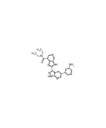 CCN(CC)C(=O)c1cncc2[nH]c(-c3n[nH]c4ncc(-c5cncc(N)c5)cc34)nc12